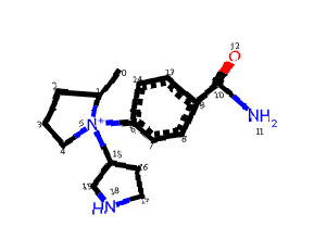 CC1CCC[N+]1(c1ccc(C(N)=O)cc1)C1CCNC1